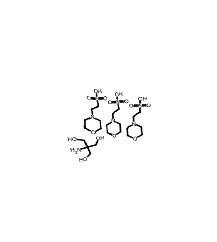 NC(CO)(CO)CO.O=S(=O)(O)CCN1CCOCC1.O=S(=O)(O)CCN1CCOCC1.O=S(=O)(O)CCN1CCOCC1